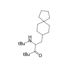 CC(C)(C)NC(CC1CCC2(CCCC2)CC1)C(=O)C(C)(C)C